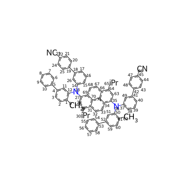 Cc1ccc(-c2ccccc2)cc1N(c1cccc(-c2ccc(C#N)cc2)c1)c1cc(C(C)C)c2ccc3c(N(c4cccc(-c5ccc(C#N)cc5)c4)c4cc(-c5ccccc5)ccc4C)cc(C(C)C)c4ccc1c2c43